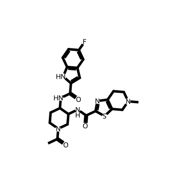 CC(=O)N1CCC(NC(=O)c2cc3cc(F)ccc3[nH]2)C(NC(=O)c2nc3c(s2)CN(C)CC3)C1